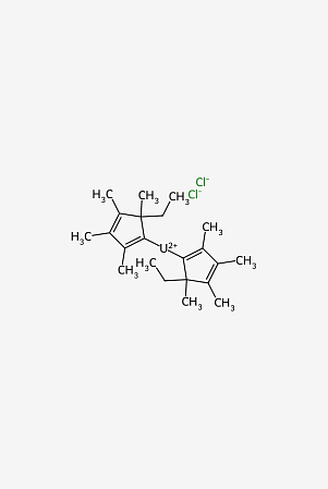 CCC1(C)C(C)=C(C)C(C)=[C]1[U+2][C]1=C(C)C(C)=C(C)C1(C)CC.[Cl-].[Cl-]